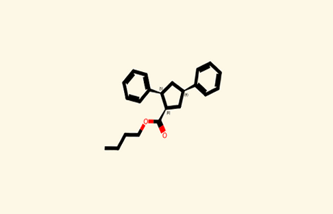 CCCCOC(=O)[C@@H]1C[C@H](c2ccccc2)C[C@@H]1c1ccccc1